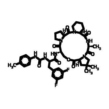 Cc1ccc(NC(=O)NC(Cc2cc(F)cc(F)c2)C(=O)N[C@H]2COC(=O)[C@@H]3CC(C)(C)CN3C(=O)[C@H](C)NC(=O)[C@@H]3CCCCN3C(=O)[C@@H]3CCCN3C2=O)cc1